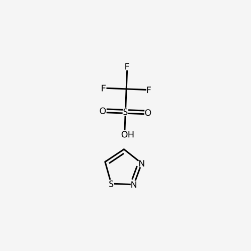 O=S(=O)(O)C(F)(F)F.c1csnn1